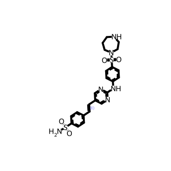 NS(=O)(=O)c1ccc(/C=C/c2cnc(Nc3ccc(S(=O)(=O)N4CCCNCC4)cc3)nc2)cc1